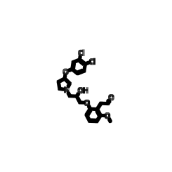 COc1cccc(OCC(O)CN2CCC(Oc3ccc(Cl)c(Cl)c3)C2)c1CC=O